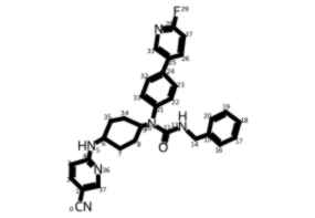 N#Cc1ccc(NC2CCC(N(C(=O)NCc3ccccc3)c3ccc(-c4ccc(F)nc4)cc3)CC2)nc1